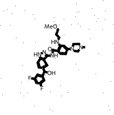 COCCCNc1cc(N2CCN(C)CC2)ccc1C(=O)Nc1n[nH]c2ccc(C(O)c3cc(F)cc(F)c3)cc12